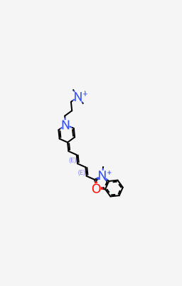 C[n+]1c(/C=C/C=C/C=C2C=CN(CCC[N+](C)(C)C)C=C2)oc2ccccc21